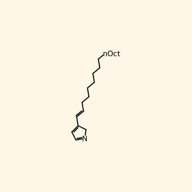 CCCCCCCCCCCCCCCC=CC1=CC=NC1